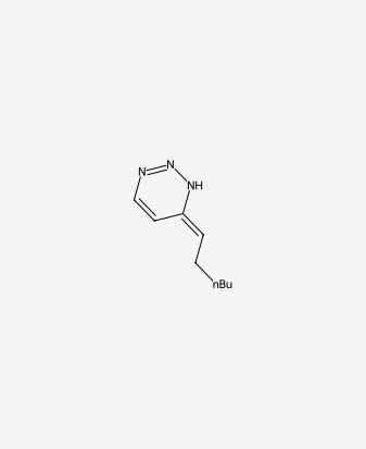 CCCCCC=C1C=CN=NN1